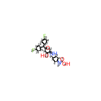 CN(C(=O)O)c1ccc(CN[C@@H]2CO[C@H](C(c3ccc(F)cc3)c3ccc(F)cc3)C[C@@H]2O)cc1